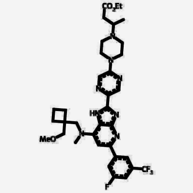 CCOC(=O)CC(C)N1CCN(c2cnc(-c3nc4nc(-c5cc(F)cc(C(F)(F)F)c5)cc(N(C)CC5(COC)CCC5)c4[nH]3)cn2)CC1